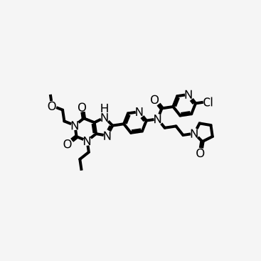 CCCn1c(=O)n(CCOC)c(=O)c2[nH]c(-c3ccc(N(CCCN4CCCC4=O)C(=O)c4ccc(Cl)nc4)nc3)nc21